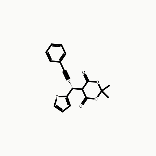 CC1(C)OC(=O)C([C@@H](C#Cc2ccccc2)c2ccco2)C(=O)O1